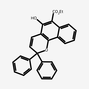 CCOC(=O)c1c(O)c2c(c3ccccc13)OC(c1ccccc1)(c1ccccc1)C=C2